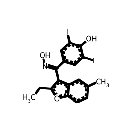 CCc1oc2ccc(C)cc2c1/C(=N/O)c1cc(I)c(O)c(I)c1